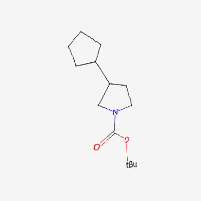 CC(C)(C)OC(=O)N1CCC(C2CCCC2)C1